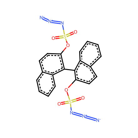 [N-]=[N+]=NS(=O)(=O)Oc1ccc2ccccc2c1-c1c(OS(=O)(=O)N=[N+]=[N-])ccc2ccccc12